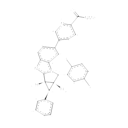 CNC(=O)c1ccc(-c2ccc3nc4n(c3c2)[C@H](c2cc(C)ccc2C)[C@@H]2[C@@H](c3ccccc3)[C@H]42)cn1